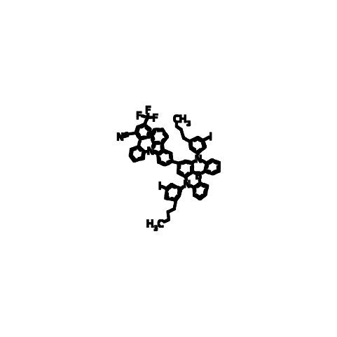 CCCCc1cc(I)cc(N2c3ccccc3B3c4ccccc4N(c4cc(I)cc(CCCC)c4)c4cc(-c5ccc6c(c5)c5ccccc5n6-c5ccccc5-c5ccc(C(F)(F)F)cc5C#N)cc2c43)c1